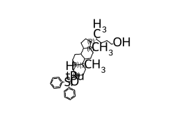 CC(CCCO)[C@H]1CCC2C3CC[C@@H]4C[C@H](O[Si](c5ccccc5)(c5ccccc5)C(C)(C)C)CC[C@]4(C)C3CC[C@@]21C